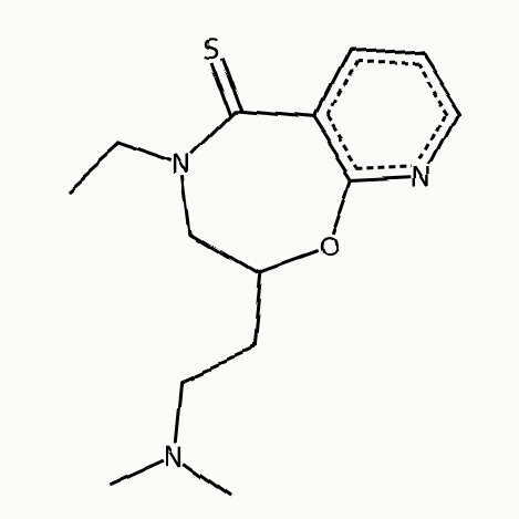 CCN1CC(CCN(C)C)Oc2ncccc2C1=S